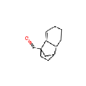 O=[C]C12CCC(C1)C1CCCC=C12